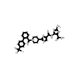 Cc1nc(C(=O)O)c(NC(=O)c2csc(C3CCN(C(=O)c4ccccc4-c4ccc(C(F)(F)F)cc4)CC3)n2)s1